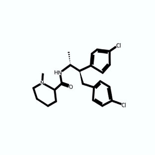 C[C@@H](NC(=O)C1CCCCN1C)[C@H](Cc1ccc(Cl)cc1)c1ccc(Cl)cc1